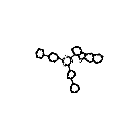 c1ccc(-c2ccc(-c3nc(-c4ccc(-c5ccccc5)cc4)nc(-c4cccc5c4oc4cc6ccccc6cc45)n3)cc2)cc1